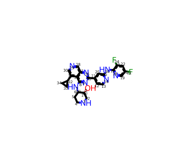 O[C@H]1CNCC[C@H]1Nc1nc(-c2ccnc(Nc3ncc(F)cc3F)c2)nc2cncc(C3CC3)c12